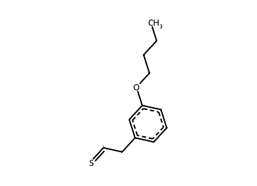 CCCCOc1cccc(C[C]=S)c1